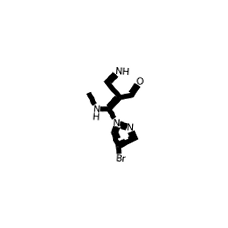 CN/C(=C(\C=N)C=O)n1cc(Br)cn1